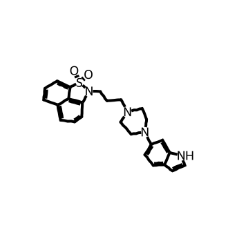 O=S1(=O)c2cccc3cccc(c23)N1CCCN1CCN(c2ccc3cc[nH]c3c2)CC1